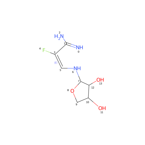 N=C(N)/C(F)=C\NC1OCC(O)C1O